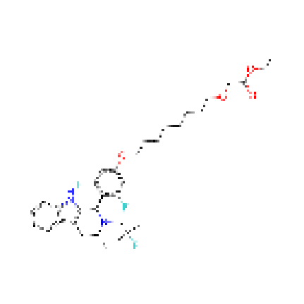 CCOC(=O)COCCCCCCCCOc1cc(F)c([C@@H]2c3[nH]c4ccccc4c3C[C@@H](C)N2CC(C)(C)F)c(F)c1